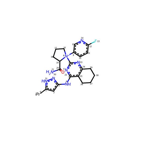 CC(C)c1cc(Nc2nc([N+]3(c4ccc(F)nc4)CCCC3C(N)=O)nc3c2CCCC3)n[nH]1